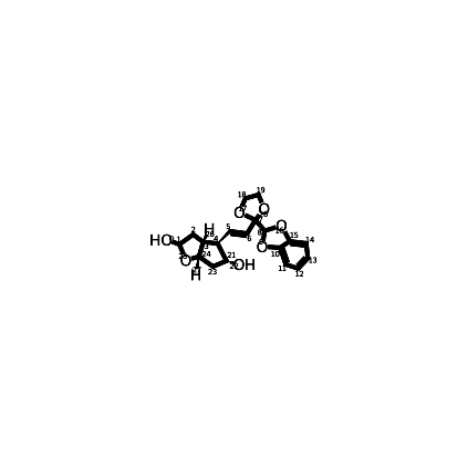 OC1C[C@@H]2[C@@H](/C=C/C3(C4Oc5ccccc5O4)OCCO3)[C@H](O)C[C@@H]2O1